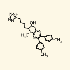 Cc1ccc(-c2nc3c(nc2-c2ccc(C)cc2)N(C)C(CCCCc2nnn[nH]2)C(O)C3)cc1